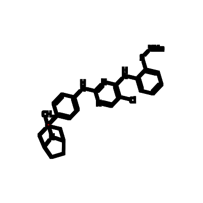 CNSc1ccccc1Nc1nc(Nc2ccc(CN3C4CCC3CN(C)C4)cc2)ncc1Cl